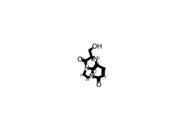 O=c1ccc2nc(CO)c(=O)n3c2n1CC3